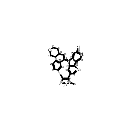 Cc1nnn(C)c1-c1cnc2c3cnc(Cl)cc3n(C(CC3CCOCC3)c3ccccc3)c2c1